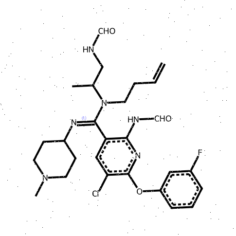 C=CCCN(/C(=N/C1CCN(C)CC1)c1cc(Cl)c(Oc2cccc(F)c2)nc1NC=O)C(C)CNC=O